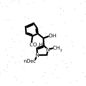 CCCCCCCCCCN1C=C(C(O)c2ccccc2C(=O)O)N(C)C1